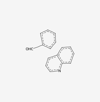 O=Cc1ccccc1.c1ccc2ncccc2c1